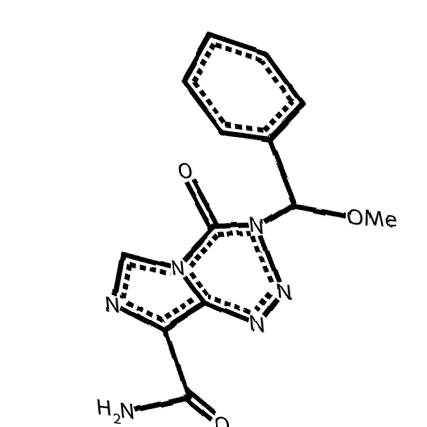 COC(c1ccccc1)n1nnc2c(C(N)=O)ncn2c1=O